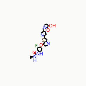 O=C(Nc1ccc(Oc2ccnc3cc(-c4ccc(CN5CC[C@H](O)C5=O)cn4)sc23)c(F)c1)NC1CC1